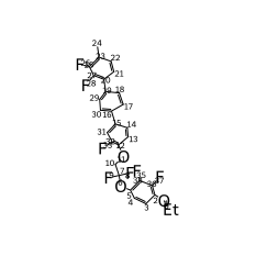 CCOc1ccc(OC(F)(F)COc2ccc(-c3ccc(-c4ccc(C)c(F)c4F)cc3)cc2F)c(F)c1F